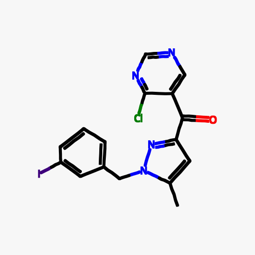 Cc1cc(C(=O)c2cncnc2Cl)nn1Cc1cccc(I)c1